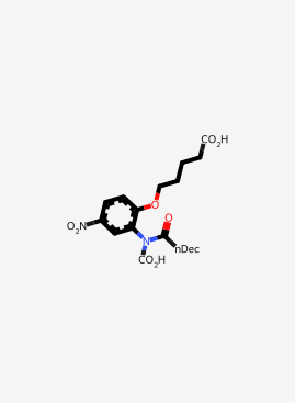 CCCCCCCCCCC(=O)N(C(=O)O)c1cc([N+](=O)[O-])ccc1OCCCCC(=O)O